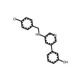 Oc1cccc(-c2cncc(NCc3ccc(Cl)cc3)c2)c1